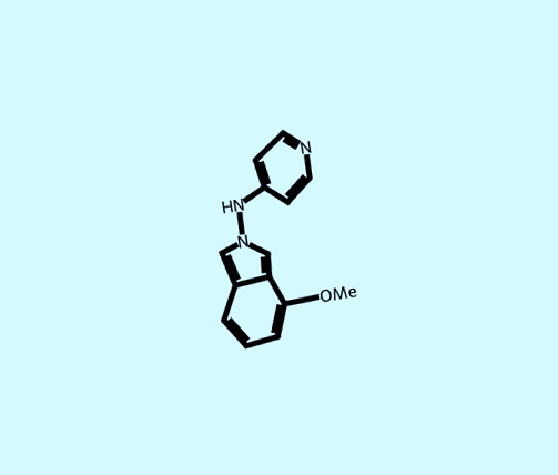 COc1cccc2cn(Nc3ccncc3)cc12